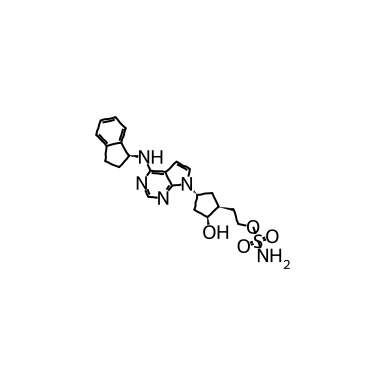 NS(=O)(=O)OCC[C@@H]1C[C@@H](n2ccc3c(N[C@H]4CCc5ccccc54)ncnc32)C[C@@H]1O